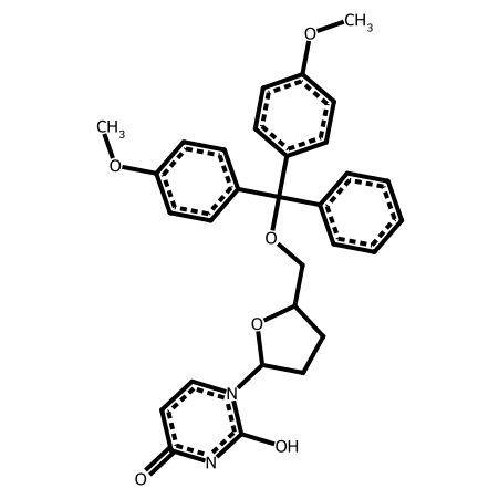 COc1ccc(C(OCC2CCC(n3ccc(=O)nc3O)O2)(c2ccccc2)c2ccc(OC)cc2)cc1